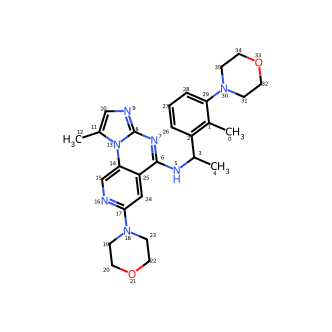 Cc1c(C(C)Nc2nc3ncc(C)n3c3cnc(N4CCOCC4)cc23)cccc1N1CCOCC1